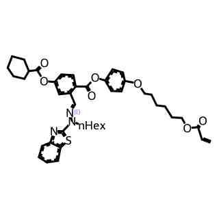 C=CC(=O)OCCCCCCOc1ccc(OC(=O)c2ccc(OC(=O)C3CCCCC3)cc2/C=N/N(CCCCCC)c2nc3ccccc3s2)cc1